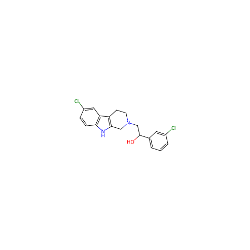 OC(CN1CCc2c([nH]c3ccc(Cl)cc23)C1)c1cccc(Cl)c1